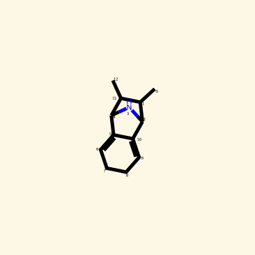 CC1C2NC(C3=CCCC=C32)C1C